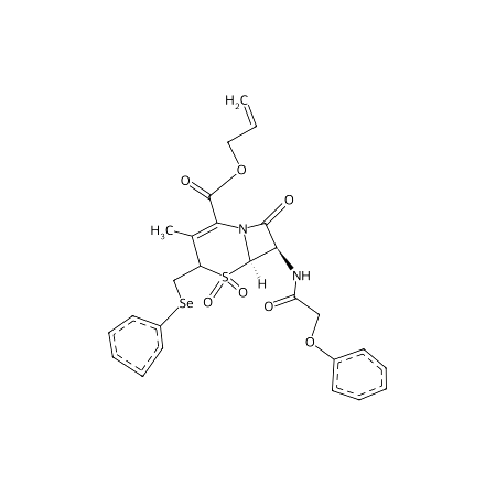 C=CCOC(=O)C1=C(C)C(C[Se]c2ccccc2)S(=O)(=O)[C@@H]2[C@H](NC(=O)COc3ccccc3)C(=O)N12